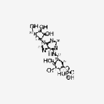 O=P(O)(O)Oc1cc(Cl)c(O)c(CNc2ncnc3c2ncn3[C@@H]2O[C@H](CO)[C@@H](O)[C@H]2O)c1